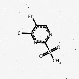 CCc1cnc(S(C)(=O)=O)nc1Cl